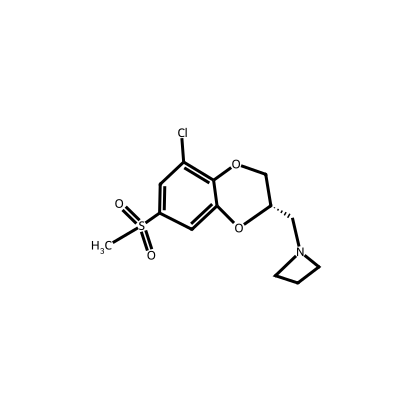 CS(=O)(=O)c1cc(Cl)c2c(c1)O[C@@H](CN1CCC1)CO2